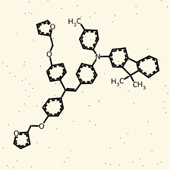 Cc1ccc(N(c2ccc(C=C(c3ccc(OCc4ccco4)cc3)c3ccc(OCc4ccco4)cc3)cc2)c2ccc3c(c2)C(C)(C)c2ccccc2-3)cc1